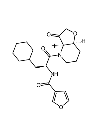 O=C(N[C@@H](CC1CCCCC1)C(=O)N1CCC[C@@H]2OCC(=O)[C@@H]21)c1ccoc1